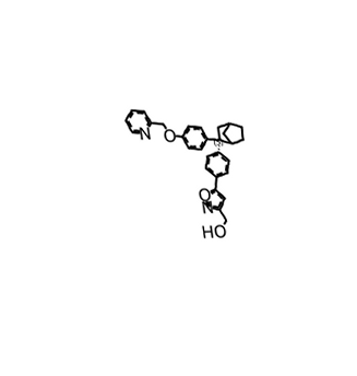 OCc1cc(-c2ccc([C@]3(c4ccc(OCc5ccccn5)cc4)CC4CCC3C4)cc2)on1